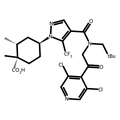 C[C@@H]1C[C@@H](n2ncc(C(=O)N(CC(=O)c3c(Cl)cncc3Cl)CC(C)(C)C)c2C(F)(F)F)CC[C@]1(C)C(=O)O